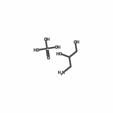 NCC(O)CO.O=P(O)(O)O